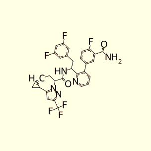 CCC(C(=O)NC(Cc1cc(F)cc(F)c1)c1ncccc1-c1ccc(F)c(C(N)=O)c1)n1nc(C(F)(F)F)cc1C1CC1